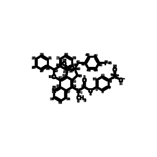 CN(C(=O)Oc1ccc([N+](=O)[O-])cc1)c1c2c(c(OC(c3ccccc3)c3ccccc3)c3ncccc13)C(=O)N(Cc1ccc(F)cc1)C2